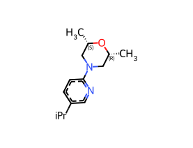 CC(C)c1ccc(N2C[C@@H](C)O[C@@H](C)C2)nc1